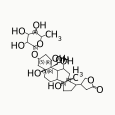 CC1O[C@H](O[C@H]2C[C@@H](O)[C@]3(CO)C4C(O)C[C@]5(C)C(C6COC(=O)C6)CC[C@]5(O)C4CC[C@]3(O)C2)C(O)C(O)[C@H]1O